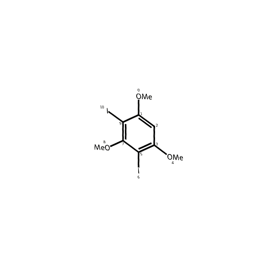 COc1cc(OC)c(I)c(OC)c1I